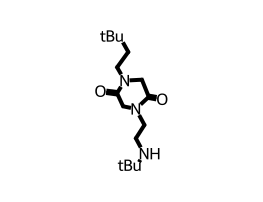 CC(C)(C)CCN1CC(=O)N(CCNC(C)(C)C)CC1=O